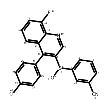 N#Cc1cccc([S+]([O-])c2cnc3c(F)cccc3c2-c2ccc(Cl)cc2)c1